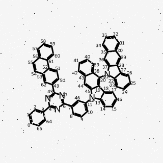 c1ccc(-c2nc(-c3cccc(-n4c5ccccc5c5c(-n6c7ccccc7c7cc8ccccc8cc76)c6ccccc6cc54)c3)nc(-c3ccc4c(ccc5ccccc54)c3)n2)cc1